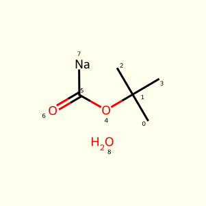 CC(C)(C)O[C](=O)[Na].O